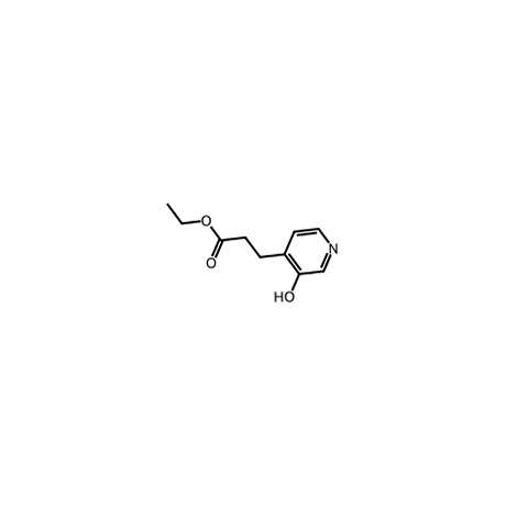 CCOC(=O)CCc1ccncc1O